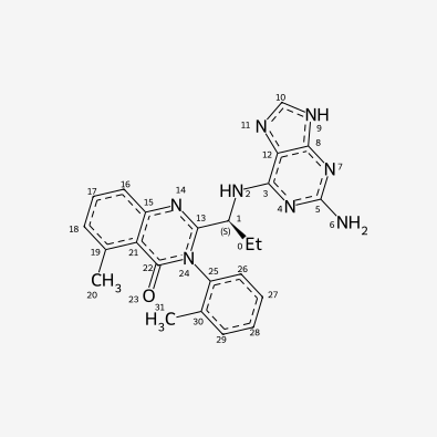 CC[C@H](Nc1nc(N)nc2[nH]cnc12)c1nc2cccc(C)c2c(=O)n1-c1ccccc1C